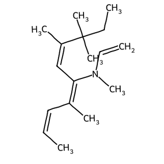 C=CN(C)C(/C=C(/C)C(C)(C)CC)=C(C)/C=C\C